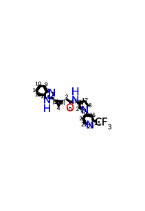 O=C(C[C@@H]1C[C@@H]1c1nc2ccccc2[nH]1)N[C@@H]1CCN(c2ccnc(C(F)(F)F)c2)C1